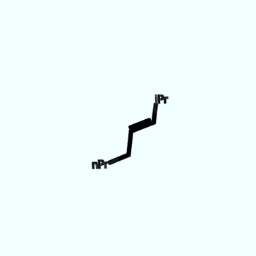 [CH2]C(C)C=CCCCC